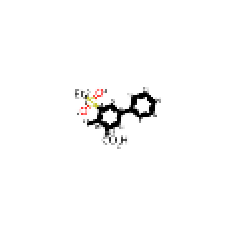 CCS(=O)(=O)c1cc(-c2ccccc2)cc(C(=O)O)c1C